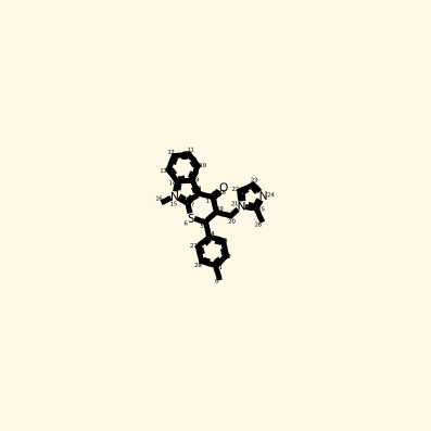 Cc1ccc(C2Sc3c(c4ccccc4n3C)C(=O)C2Cn2ccnc2C)cc1